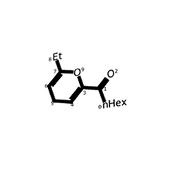 CCCCCCC(=O)C1=CCC=C(CC)O1